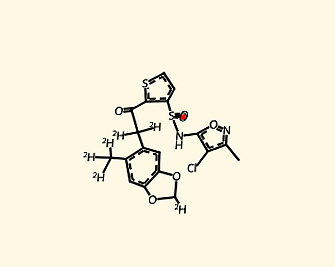 [2H]C1Oc2cc(C([2H])([2H])[2H])c(C([2H])([2H])C(=O)c3sccc3S(=O)(=O)Nc3onc(C)c3Cl)cc2O1